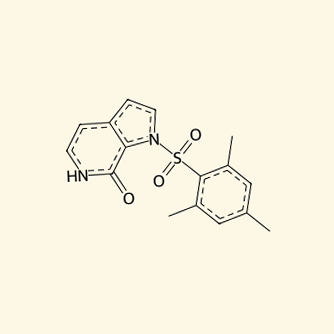 Cc1cc(C)c(S(=O)(=O)n2ccc3cc[nH]c(=O)c32)c(C)c1